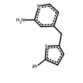 CC(C)c1ccc(Cc2ccnc(N)c2)s1